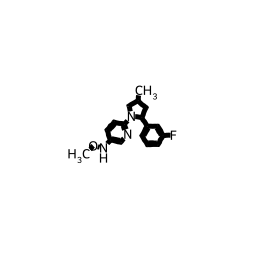 CONc1ccc(N2CC(C)CC2c2cccc(F)c2)nc1